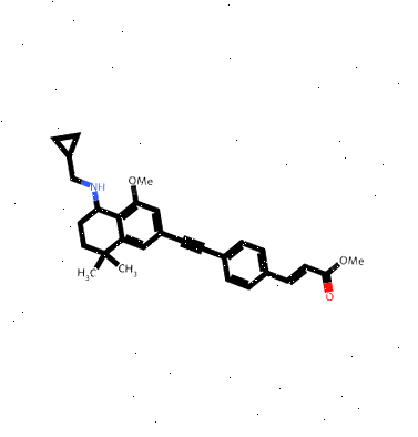 COC(=O)/C=C/c1ccc(C#Cc2cc(OC)c3c(c2)C(C)(C)CCC3NCC2CC2)cc1